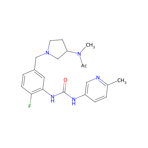 CC(=O)N(C)C1CCN(Cc2ccc(F)c(NC(=O)Nc3ccc(C)nc3)c2)C1